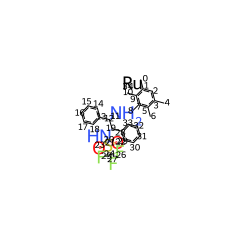 Cc1cc(C)c(C)c(C)c1C.N[C@@H](c1ccccc1)[C@@H](NS(=O)(=O)C(F)(F)F)c1ccccc1.[Ru]